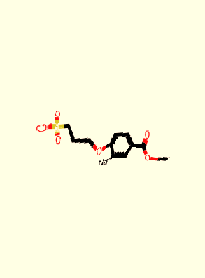 COC(=O)c1ccc(OCCCS(=O)(=O)[O-])cc1.[Na+]